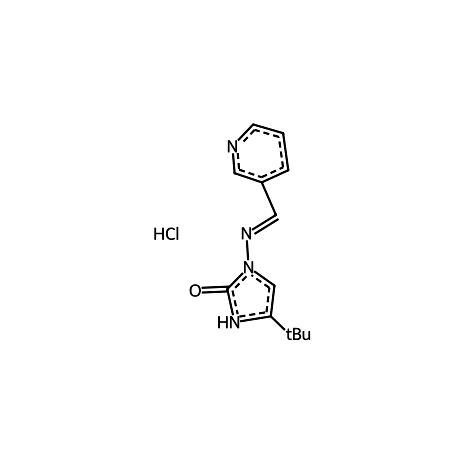 CC(C)(C)c1cn(N=Cc2cccnc2)c(=O)[nH]1.Cl